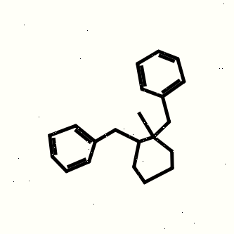 CC1(Cc2ccccc2)CCCCC1Cc1ccccc1